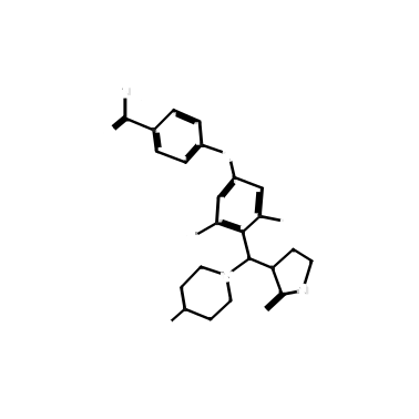 NC(=O)c1ccc(Oc2cc(Cl)c(C(C3CCNC3=O)N3CCC(O)CC3)c(Cl)c2)cc1